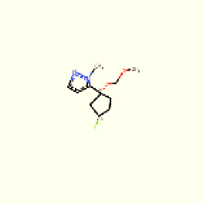 COCO[C@]1(c2ccnn2C)CC[C@@H](F)C1